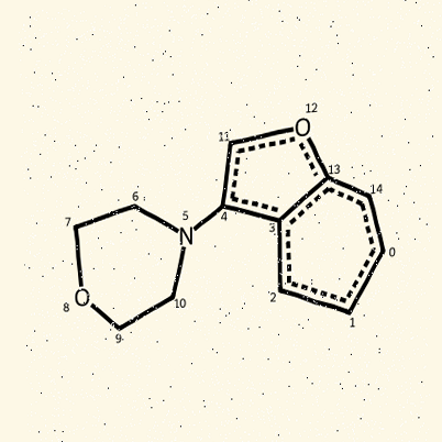 c1ccc2c(N3CCOCC3)coc2c1